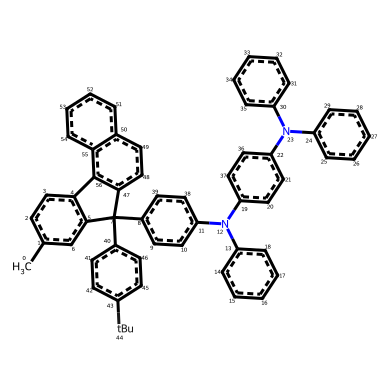 Cc1ccc2c(c1)C(c1ccc(N(c3ccccc3)c3ccc(N(c4ccccc4)c4ccccc4)cc3)cc1)(c1ccc(C(C)(C)C)cc1)c1ccc3ccccc3c1-2